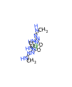 C=C1CC2(CN1)CN(Cc1ncc(-c3cccc(-c4cccc(-c5cnc(CN6CC7(CNC(=C)C7)C6)c(NCC)n5)c4Cl)c3Cl)nc1NCC)C2